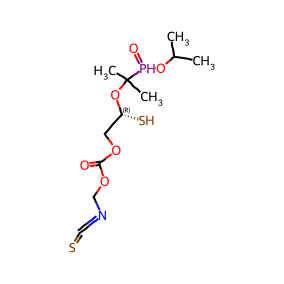 CC(C)O[PH](=O)C(C)(C)O[C@H](S)COC(=O)OCN=C=S